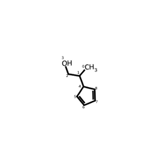 CC(CO)C1C=CC=C1